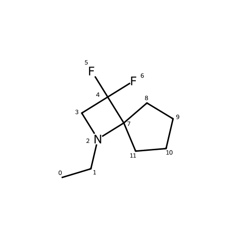 CCN1CC(F)(F)C12CCCC2